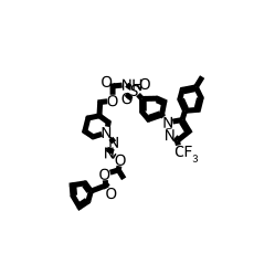 Cc1ccc(-c2cc(C(F)(F)F)nn2-c2ccc(S(=O)(=O)NC(=O)OCC3CCCN(N=NOC(C)OC(=O)c4ccccc4)C3)cc2)cc1